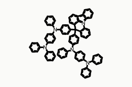 c1ccc(N(c2ccccc2)c2ccc(N(c3ccccc3)c3ccc(C4(c5ccc(N(c6ccccc6)c6ccc(N(c7ccccc7)c7ccccc7)cc6)cc5)c5ccccc5-n5c6ccccc6c6cccc4c65)cc3)cc2)cc1